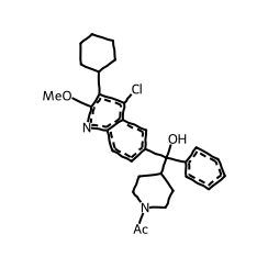 COc1nc2ccc(C(O)(c3ccccc3)C3CCN(C(C)=O)CC3)cc2c(Cl)c1C1CCCCC1